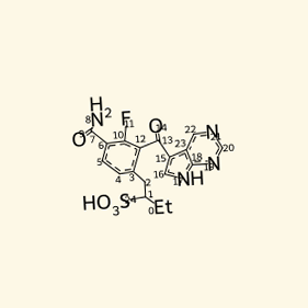 CCC(Cc1ccc(C(N)=O)c(F)c1C(=O)c1c[nH]c2ncncc12)S(=O)(=O)O